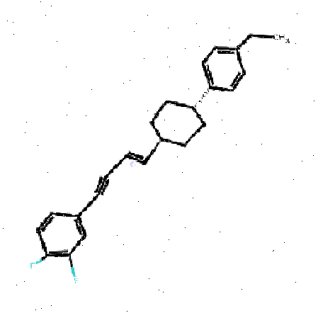 CCc1ccc([C@H]2CC[C@H](/C=C/C#Cc3ccc(F)c(F)c3)CC2)cc1